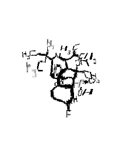 C#CC(C(=O)O)([PH](=O)O)C(C)(O)c1c(-c2ccc(F)cc2)cc(C(C)(C)C)nc1C(C)C